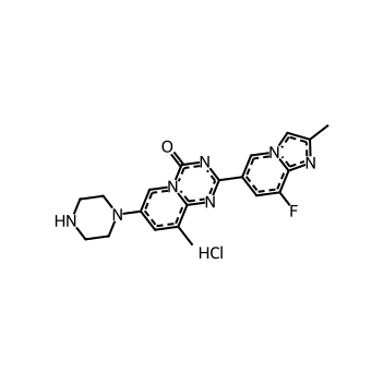 Cc1cn2cc(-c3nc(=O)n4cc(N5CCNCC5)cc(C)c4n3)cc(F)c2n1.Cl